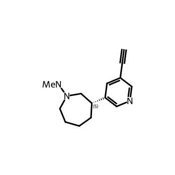 C#Cc1cncc([C@@H]2CCCCN(NC)C2)c1